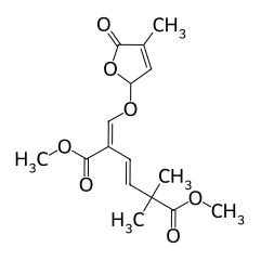 COC(=O)C(/C=C/C(C)(C)C(=O)OC)=C/OC1C=C(C)C(=O)O1